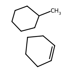 C1=CCCCC1.CC1CCCCC1